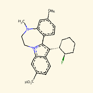 COc1ccc2c(c1)N(C)CCn1c-2c([C@@H]2CCCC[C@H]2F)c2ccc(C(=O)O)cc21